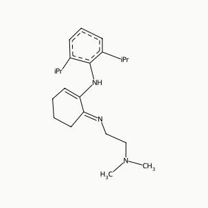 CC(C)c1cccc(C(C)C)c1NC1=CCCC/C1=N\CCN(C)C